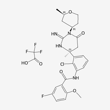 COc1ccc(F)cc1C(=O)Nc1cccc([C@]2(C)CC(=O)N([C@@H]3CCO[C@H](C)C3)C(=N)N2)c1Cl.O=C(O)C(F)(F)F